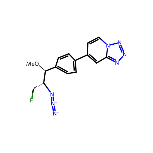 CO[C@H](c1ccc(-c2ccn3nnnc3c2)cc1)[C@@H](CF)N=[N+]=[N-]